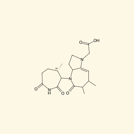 CC1C=C2C(CCN2CC(=O)O)N(C2C(=O)NC(=O)CC[C@@H]2C)C(=O)C1C